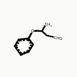 CC(CC=O)Oc1ccccc1